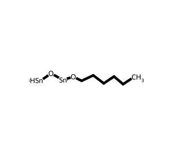 CCCCCC[O][Sn][O][SnH]